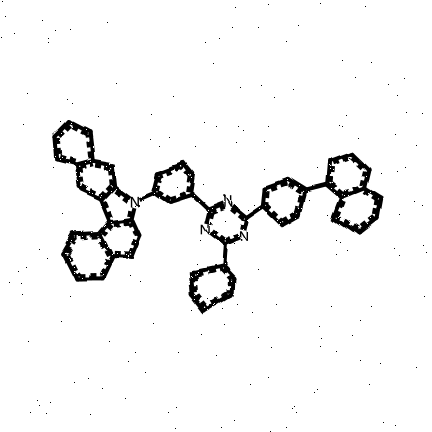 c1ccc(-c2nc(-c3ccc(-c4cccc5ccccc45)cc3)nc(-c3cccc(-n4c5cc6ccccc6cc5c5c6ccccc6ccc54)c3)n2)cc1